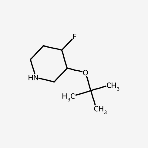 CC(C)(C)OC1CNCCC1F